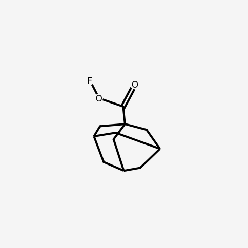 O=C(OF)C12CC3CC(CC(C3)C1)C2